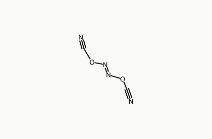 N#CON=NOC#N